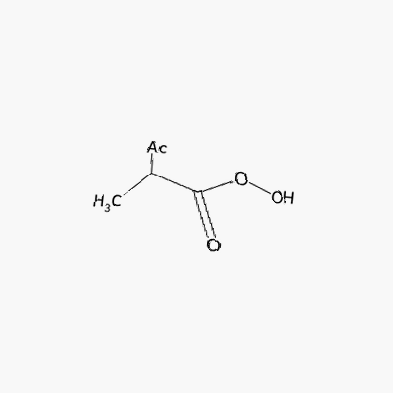 CC(=O)C(C)C(=O)OO